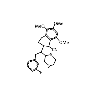 COc1cc(OC)c2c(c1OC)CCC(C(Cc1cccc(F)c1)C1CSCCS1)C2C#N